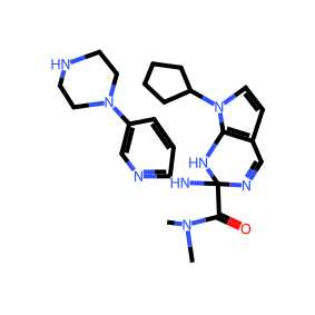 CN(C)C(=O)C1(Nc2ccc(N3CCNCC3)cn2)N=Cc2ccn(C3CCCC3)c2N1